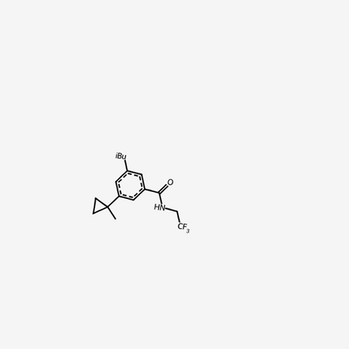 CCC(C)c1cc(C(=O)NCC(F)(F)F)cc(C2(C)CC2)c1